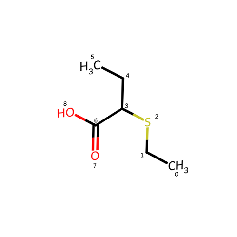 CCSC(CC)C(=O)O